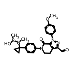 COc1ccc(-n2nc(C=O)c3c2C(=O)N(c2ccc(C4(N(C)B(C)O)CC4)cc2)CC3)cc1